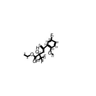 C=C(CC(O)(C(=O)OCC)C(F)(F)F)c1cc(F)ccc1OC